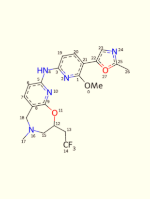 COc1nc(Nc2ccc3c(n2)OC(CC(F)(F)F)CN(C)C3)ccc1-c1cnc(C)o1